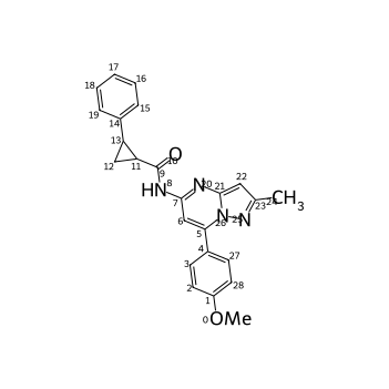 COc1ccc(-c2cc(NC(=O)C3CC3c3ccccc3)nc3cc(C)nn23)cc1